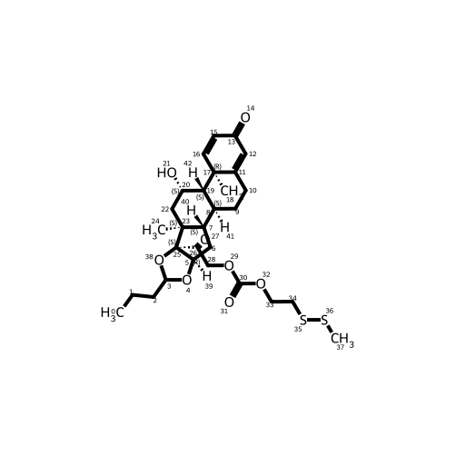 CCCC1O[C@@H]2C[C@H]3[C@@H]4CCC5=CC(=O)C=C[C@]5(C)[C@H]4[C@@H](O)C[C@]3(C)[C@]2(C(=O)COC(=O)OCCSSC)O1